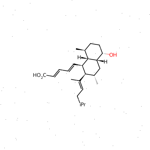 C/C(=C\CC(C)C)[C@H]1[C@@H](/C=C/C=C/C(=O)O)[C@H]2[C@@H](C[C@@H]1C)[C@@H](O)CC[C@@H]2C